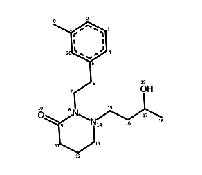 Cc1cccc(CCN2C(=O)CCCN2CCC(C)O)c1